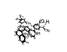 CN1CC(F)(F)C[C@H]1COc1ccc2ccccc2c1C1NCC2C1NCNC2N1CCN(C(=O)O)[C@@H](CC#N)C1